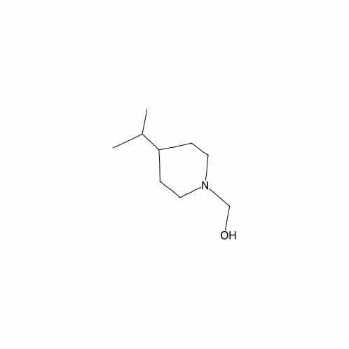 CC(C)C1CCN(CO)CC1